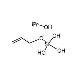 C=CCO[Si](O)(O)O.CC(C)O